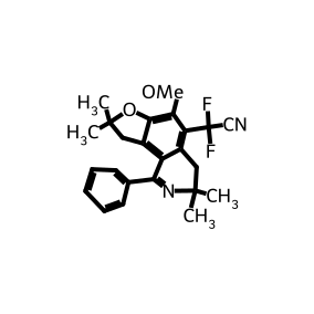 COc1c2c(c3c(c1C(F)(F)C#N)CC(C)(C)N=C3c1ccccc1)CC(C)(C)O2